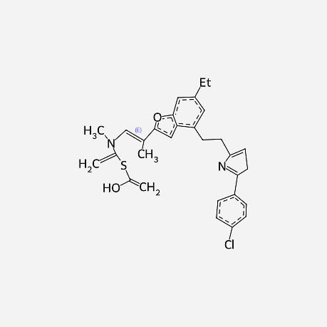 C=C(O)SC(=C)N(C)/C=C(\C)c1cc2c(CCC3=CCC(c4ccc(Cl)cc4)=N3)cc(CC)cc2o1